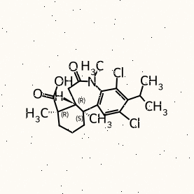 CC(C)c1c(Cl)cc2c(c1Cl)N(C)C(=O)C[C@H]1[C@](C)(C(=O)O)CCC[C@]21C